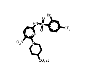 CCOC(=O)C1CCN(c2nc(NS(=O)(=O)c3ccc(C(F)(F)F)cc3Br)ccc2[N+](=O)[O-])CC1